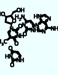 Cc1cn([C@H]2C[C@H](O)[C@@H](CO)O2)c(=O)[nH]c1=O.Nc1cc[nH]c(=O)n1.Nc1ncnc2[nH]cnc12.O=c1cc[nH]c(=O)[nH]1